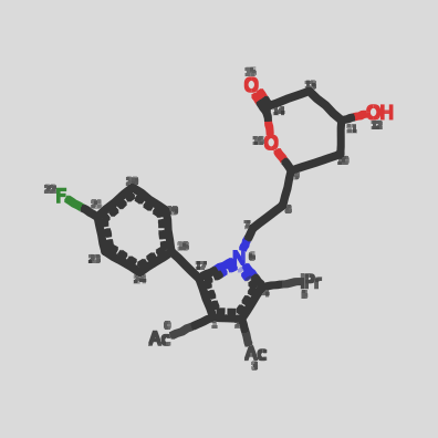 CC(=O)c1c(C(C)=O)c(C(C)C)n(CCC2CC(O)CC(=O)O2)c1-c1ccc(F)cc1